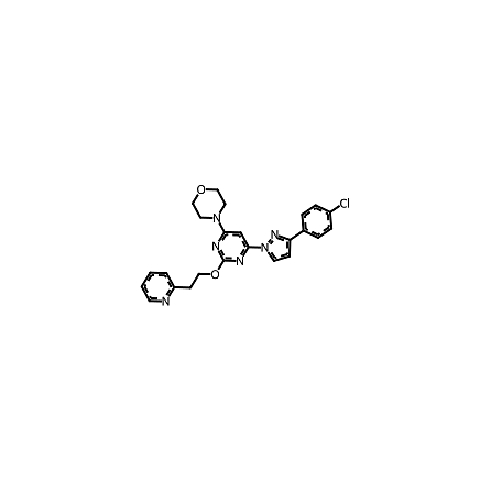 Clc1ccc(-c2ccn(-c3cc(N4CCOCC4)nc(OCCc4ccccn4)n3)n2)cc1